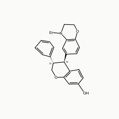 CCN1CCOc2ccc([C@H]3c4ccc(O)cc4OC[C@@H]3c3ccccc3)cc21